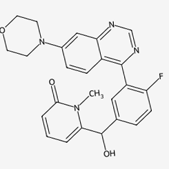 Cn1c(C(O)c2ccc(F)c(-c3ncnc4cc(N5CCOCC5)ccc34)c2)cccc1=O